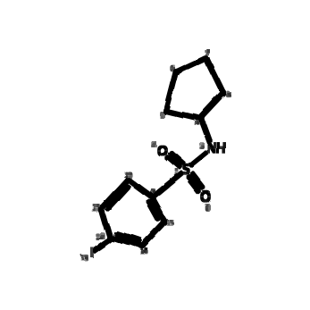 O=S(=O)(NC1CCCC1)c1ccc(I)cc1